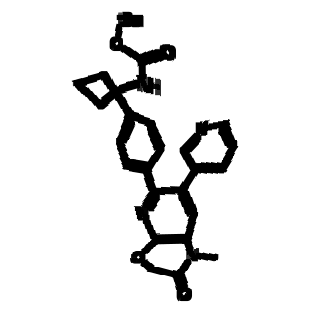 CN1C(=O)COc2nc(-c3ccc(C4(NC(=O)OC(C)(C)C)CCC4)cc3)c(-c3cccnc3)cc21